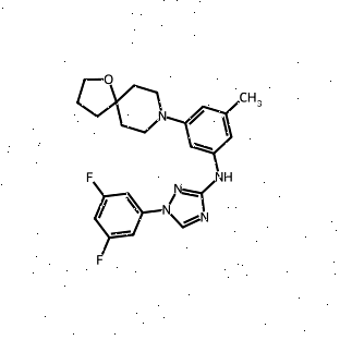 Cc1cc(Nc2ncn(-c3cc(F)cc(F)c3)n2)cc(N2CCC3(CCCO3)CC2)c1